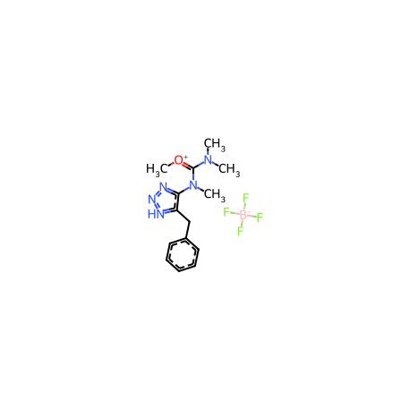 C[O+]=C(N(C)C)N(C)c1nn[nH]c1Cc1ccccc1.F[B-](F)(F)F